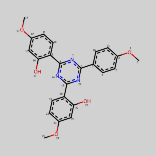 COc1ccc(-c2nc(-c3ccc(OC)cc3O)nc(-c3ccc(OC)cc3O)n2)cc1